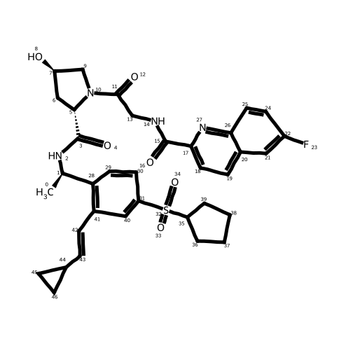 C[C@@H](NC(=O)[C@@H]1C[C@@H](O)CN1C(=O)CNC(=O)c1ccc2cc(F)ccc2n1)c1ccc(S(=O)(=O)C2CCCC2)cc1/C=C/C1CC1